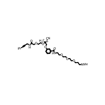 CNCCCOCCOCCOCCNC(=O)c1cccc(OCC(C)(OCCOCC(=O)NCC#CC(C)C)SC#N)c1